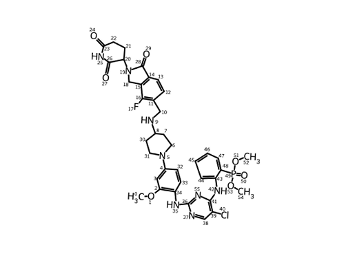 COc1cc(N2CCC(NCc3ccc4c(c3F)CN(C3CCC(=O)NC3=O)C4=O)CC2)ccc1Nc1ncc(Cl)c(Nc2ccccc2P(=O)(OC)OC)n1